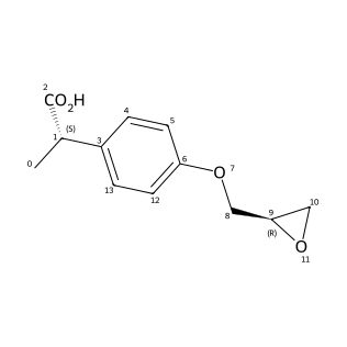 C[C@H](C(=O)O)c1ccc(OC[C@H]2CO2)cc1